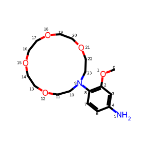 COc1cc(N)ccc1N1CCOCCOCCOCCOCC1